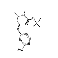 CC(C/C=C/c1cncc(O)c1)N(C)C(=O)OC(C)(C)C